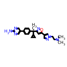 CN(C)CCn1cc(-c2cc([C@](C)(c3ccc(-c4cnc(N)nc4)cc3)C3CC3)no2)cn1